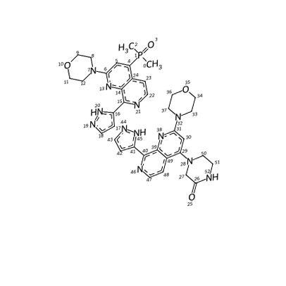 CP(C)(=O)c1cc(N2CCOCC2)nc2c(-c3ccn[nH]3)nccc12.O=C1CN(c2cc(N3CCOCC3)nc3c(-c4ccn[nH]4)nccc23)CCN1